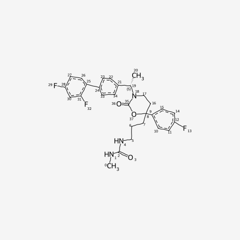 CNC(=O)NCCCC1(c2ccc(F)cc2)CCN([C@@H](C)c2ccc(-c3ccc(F)cc3F)cc2)C(=O)O1